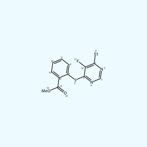 CCc1ncnc(Sc2ccccc2C(=O)OC)c1F